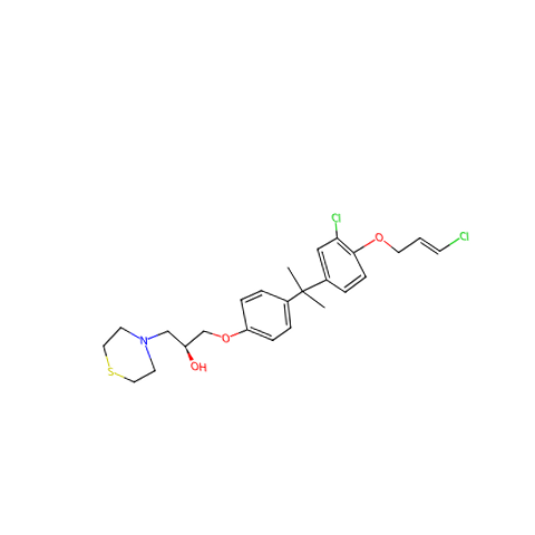 CC(C)(c1ccc(OC[C@@H](O)CN2CCSCC2)cc1)c1ccc(OC/C=C/Cl)c(Cl)c1